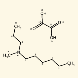 CCCCCCN(C)CCC.O=C(O)C(=O)O